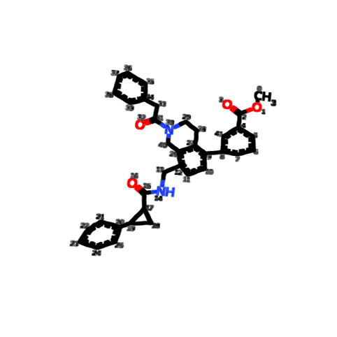 COC(=O)c1cccc(-c2ccc(CNC(=O)C3CC3c3ccccc3)c3c2CCN(C(=O)Cc2ccccc2)C3)c1